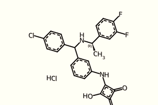 C[C@@H](NC(c1ccc(Cl)cc1)c1cccc(Nc2c(O)c(=O)c2=O)c1)c1ccc(F)c(F)c1.Cl